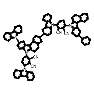 N#Cc1c(-n2c3ccccc3c3cc(-c4ccc5c(ccc6c5c5cc(-n7c8ccccc8c8ccccc87)ccc5n6-c5ccc(-n6c7ccccc7c7ccccc76)c(C#N)c5C#N)c4)ccc32)ccc(-n2c3ccc(-c4ccccc4)cc3c3c4ccccc4ccc32)c1C#N